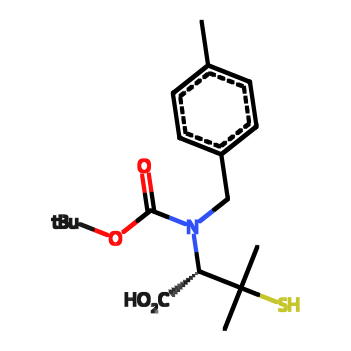 Cc1ccc(CN(C(=O)OC(C)(C)C)[C@@H](C(=O)O)C(C)(C)S)cc1